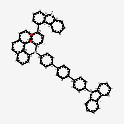 c1ccc2c(c1)ccc1cccc(N(c3ccc(-c4ccc(-c5ccc(-n6c7ccccc7c7ccccc76)cc5)cc4)cc3)c3ccc(-c4cccc5oc6ccccc6c45)cc3)c12